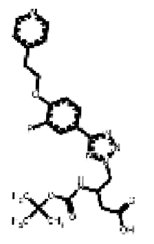 CC(C)(C)OC(=O)NC(CC(=O)O)Cn1nnc(-c2ccc(OCCc3ccncc3)c(F)c2)n1